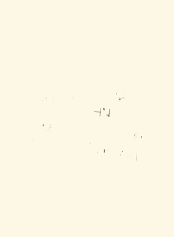 CCOc1ccc(C(C)C2=C(C(=O)O)C(=O)CC(=O)N2)cc1OCC